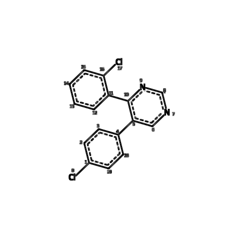 Clc1ccc(-c2cn[c]nc2-c2ccccc2Cl)cc1